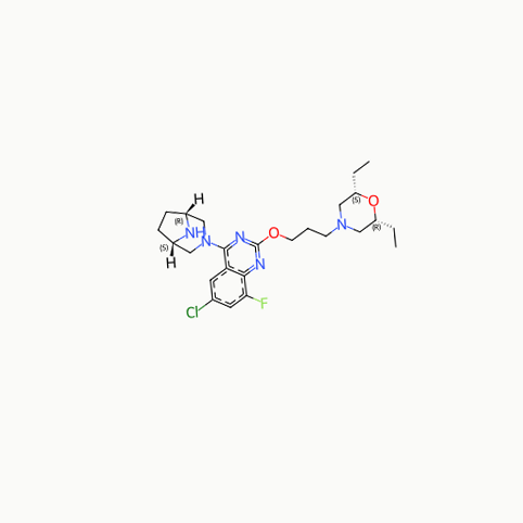 CC[C@@H]1CN(CCCOc2nc(N3C[C@H]4CC[C@@H](C3)N4)c3cc(Cl)cc(F)c3n2)C[C@H](CC)O1